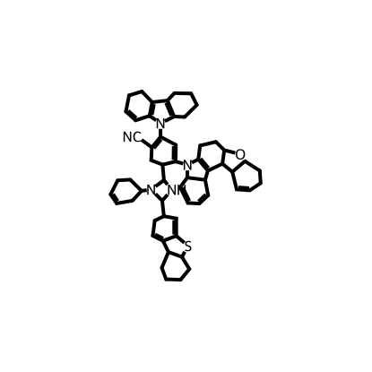 N#CC1=C(n2c3c(c4c2CCCC4)CCC=C3)C=C(N2C3=C(C4C=CC=CC42)C2C(CC3)OC3CCC=CC32)C(C2NC(C3C=C4SC5CCCCC5C4=CC3)N2C2CC=CCC2)C1